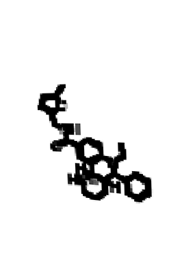 CCN1c2ccc(C(=O)NCc3ccc(C)o3)cc2[C@H]2NCCC[C@H]2C1c1ccccc1